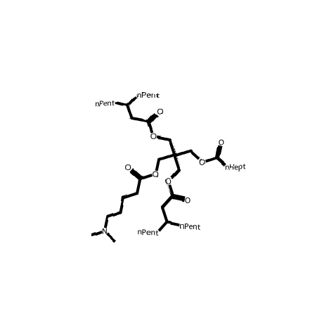 CCCCCCCC(=O)OCC(COC(=O)CCCCN(C)C)(COC(=O)CC(CCCCC)CCCCC)COC(=O)CC(CCCCC)CCCCC